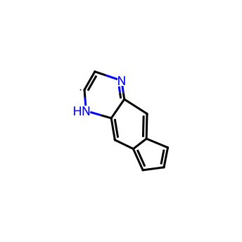 [c]1cnc2cc3cccc3cc2[nH]1